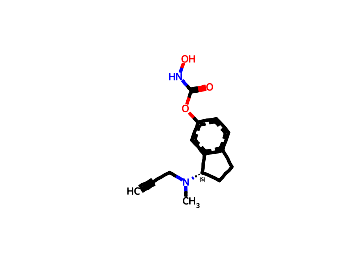 C#CCN(C)[C@H]1CCc2ccc(OC(=O)NO)cc21